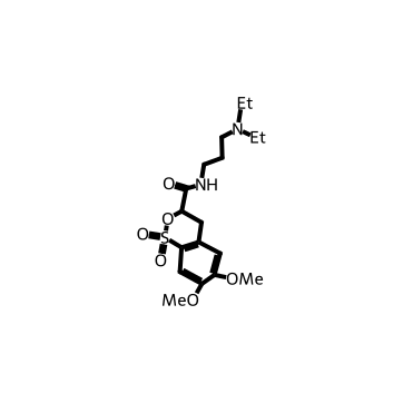 CCN(CC)CCCNC(=O)C1Cc2cc(OC)c(OC)cc2S(=O)(=O)O1